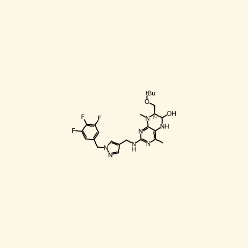 Cc1nc(NCc2cnn(Cc3cc(F)c(F)c(F)c3)c2)nc2c1NC(O)[C@H](COC(C)(C)C)N2C